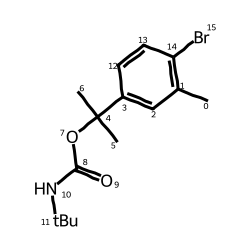 Cc1cc(C(C)(C)OC(=O)NC(C)(C)C)ccc1Br